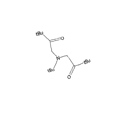 CC(C)(C)C(=O)CN(CC(=O)C(C)(C)C)C(C)(C)C